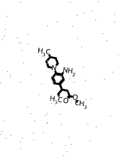 CCC(CC(=O)OC)c1ccc(N2CCC(C)CC2)c(N)c1